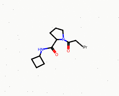 CC(C)CC(=O)N1CCCC1C(=O)NC1CCC1